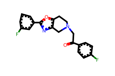 O=C(CN1CCc2oc(-c3cccc(F)c3)nc2C1)c1ccc(F)cc1